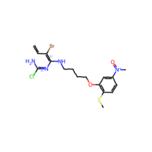 C=C/C(Br)=C(\N=C(/N)Cl)NCCCCOc1cc([N+](C)=O)ccc1SC